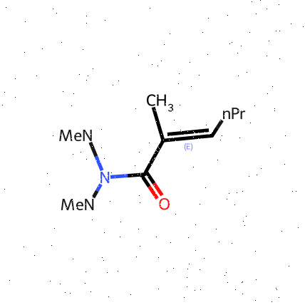 CCC/C=C(\C)C(=O)N(NC)NC